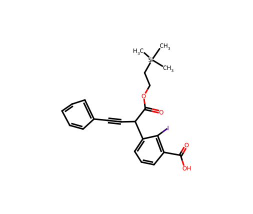 C[Si](C)(C)CCOC(=O)C(C#Cc1ccccc1)c1cccc(C(=O)O)c1I